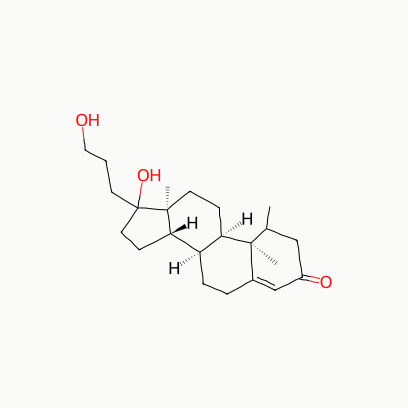 CC1CC(=O)C=C2CC[C@@H]3[C@@H](CC[C@@]4(C)[C@H]3CCC4(O)CCCO)[C@]21C